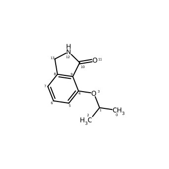 CC(C)Oc1cccc2c1C(=O)NC2